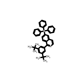 CC(C)(C)c1cc(-c2nccc3cc(S(c4ccccc4)(c4ccccc4)c4ccccc4)ccc23)cc(C(C)(C)C)c1